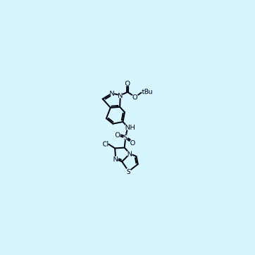 CC(C)(C)OC(=O)n1ncc2ccc(NS(=O)(=O)C3C(Cl)N=C4SC=CN43)cc21